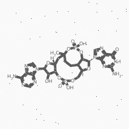 CC12CCC3C(OP(=O)(O)O1)[C@H](n1cnc4c(=O)[nH]c(N)nc41)O[C@@H]3COP(=O)(O)OC1C(O)C(n3cnc4c(N)ncnc43)O[C@@H]1C2